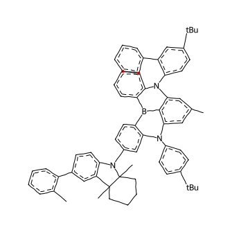 Cc1cc2c3c(c1)N(c1ccc(C(C)(C)C)cc1-c1ccccc1)c1ccccc1B3c1ccc(N3c4ccc(-c5ccccc5C)cc4C4(C)CCCCC34C)cc1N2c1ccc(C(C)(C)C)cc1